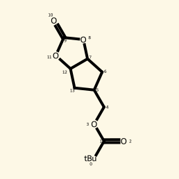 CC(C)(C)C(=O)OCC1CC2OC(=O)OC2C1